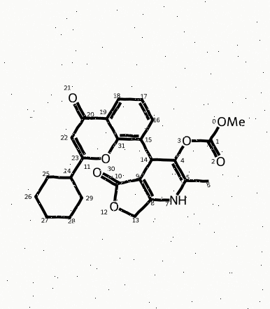 COC(=O)OC1=C(C)NC2=C(C(=O)OC2)C1c1cccc2c(=O)cc(C3CCCCC3)oc12